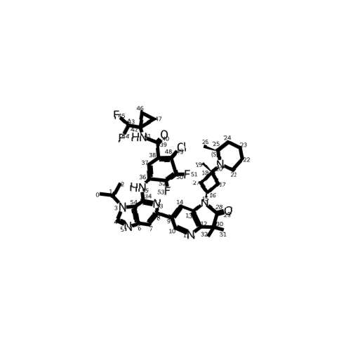 CC(C)n1cnc2cc(-c3cnc4c(c3)N([C@H]3C[C@@](C)(N5CCCC[C@@H]5C)C3)C(=O)C4(C)C)nc(Nc3cc(C(=O)NC4(C(F)F)CC4)c(Cl)c(F)c3F)c21